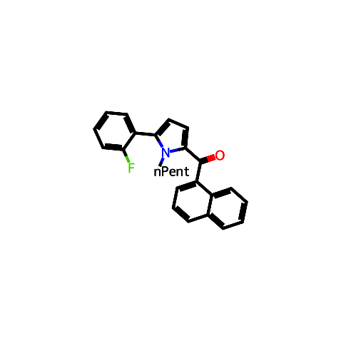 CCCCCn1c(C(=O)c2cccc3ccccc23)ccc1-c1ccccc1F